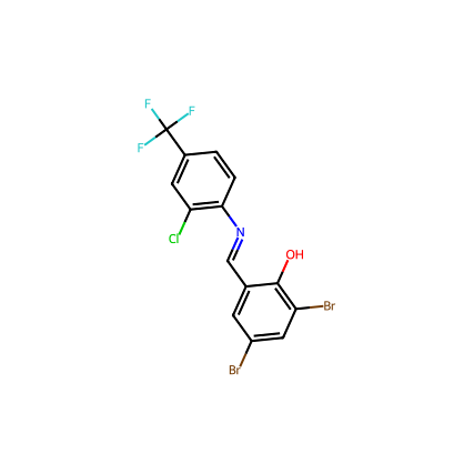 Oc1c(Br)cc(Br)cc1/C=N/c1ccc(C(F)(F)F)cc1Cl